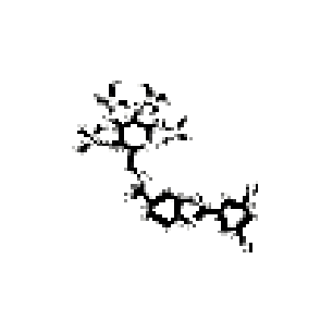 C[Si](C)(C)OC1OC(COC(=O)c2ccc3nc(-c4cc(Cl)cc(Cl)c4)oc3c2)C(O[Si](C)(C)C)C(O[Si](C)(C)C)C1O[Si](C)(C)C